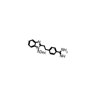 CCCCCCCCCCn1c(CCc2ccc(C(=N)N)cc2)nc2c[c]ccc21